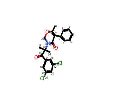 CC1=C(c2ccccc2)C(=O)N(C(C)(C)C(=O)c2cc(Cl)cc(Cl)c2)CO1